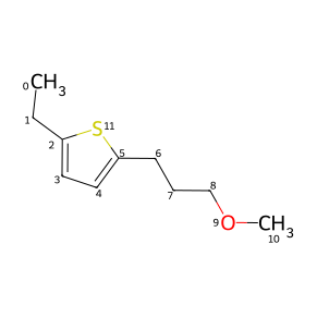 CCc1ccc(CCCOC)s1